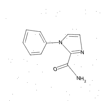 NC(=O)c1nccn1-c1ccccc1